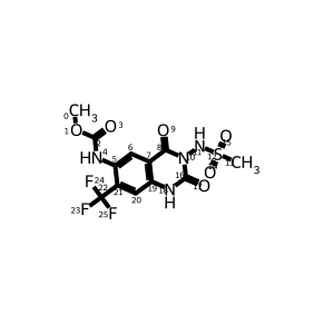 COC(=O)Nc1cc2c(=O)n(NS(C)(=O)=O)c(=O)[nH]c2cc1C(F)(F)F